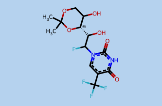 CC1(C)OCC(O)[C@H](C(O)C(F)n2cc(C(F)(F)F)c(=O)[nH]c2=O)O1